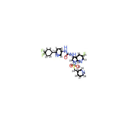 O=C(Nc1ccc(C2CCC(F)(F)CC2)nc1)Nc1cn(S(=O)(=O)Cc2cccnc2)c2ncc(F)cc12